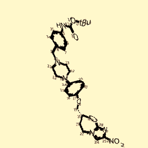 CC(C)(C)OC(=O)Nc1ccc(CN2CCN(c3ccc(OC[C@H]4CCn5cc([N+](=O)[O-])nc5O4)cc3)CC2)cc1